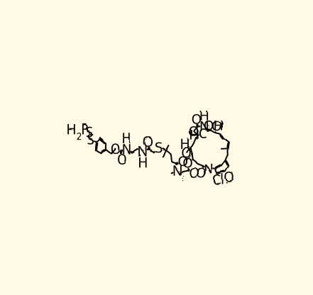 COc1cc2cc(c1Cl)N(C)C(=O)C[C@H](OC(=O)[C@H](C)N(C)C(=O)CCC(C)(C)SCC(=O)NCCNC(=O)OCc1ccc(SSP)cc1)[C@]1(C)O[C@H]1[C@H](C)[C@@H]1C[C@@](O)(NC(=O)O1)[C@H](OC)/C=C/C=C(\C)C2